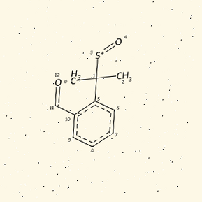 CC(C)([S+]=O)c1ccccc1C=O